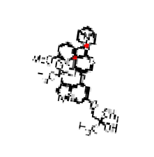 COc1ccc(CN2C3CC2CN(c2ccc(-c4cc(OCC(C)(C)O)cn5ncc(P(C)(C)=O)c45)cn2)C3)cn1